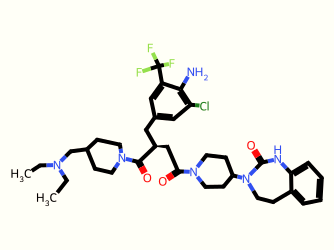 CCN(CC)CC1CCN(C(=O)[C@H](CC(=O)N2CCC(N3CCc4ccccc4NC3=O)CC2)Cc2cc(Cl)c(N)c(C(F)(F)F)c2)CC1